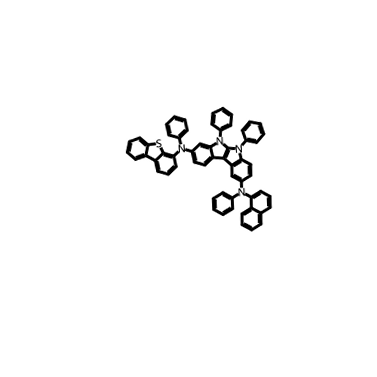 c1ccc(N(c2ccc3c(c2)c2c4ccc(N(c5ccccc5)c5cccc6c5sc5ccccc56)cc4n(-c4ccccc4)c2n3-c2ccccc2)c2cccc3ccccc23)cc1